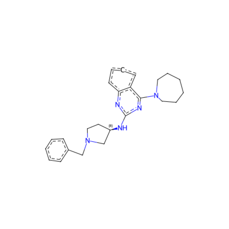 c1ccc(CN2CC[C@@H](Nc3nc(N4CCCCCC4)c4ccccc4n3)C2)cc1